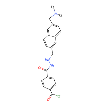 CCN(CC)Cc1ccc2cc(CNNC(=O)c3ccc(C(=O)Cl)cc3)ccc2c1